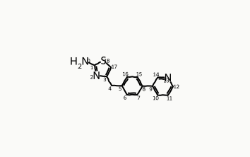 Nc1nc(Cc2ccc(-c3cccnc3)cc2)cs1